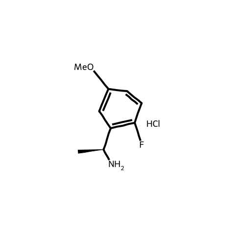 COc1ccc(F)c([C@H](C)N)c1.Cl